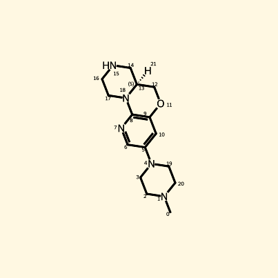 CN1CCN(c2cnc3c(c2)OC[C@@H]2CNCCN32)CC1